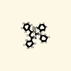 Brc1ccccc1N(c1ccccc1)c1nc(-c2ccccc2)cc(-c2ccccc2)n1